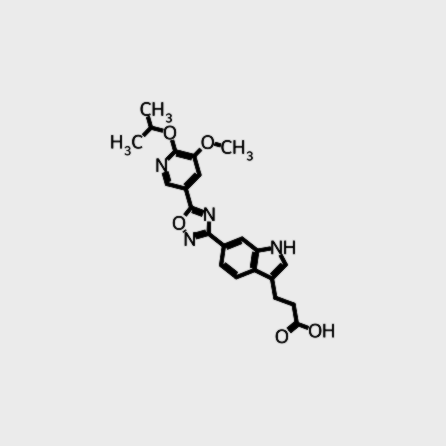 COc1cc(-c2nc(-c3ccc4c(CCC(=O)O)c[nH]c4c3)no2)cnc1OC(C)C